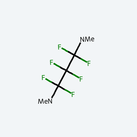 CNC(F)(F)C(F)(F)C(F)(F)NC